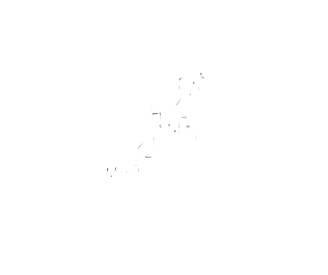 CCOC1=C(NC(=O)c2ccc(OC)cc2)C(Cl)=C(OCC)C(=[N+]=[N-])C1